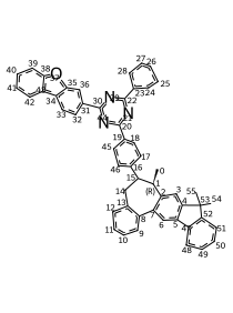 C[C@H]1c2cc3c(cc2-c2ccccc2CC1c1ccc(-c2nc(-c4ccccc4)nc(-c4ccc5c(c4)oc4ccccc45)n2)cc1)-c1ccccc1C3(C)C